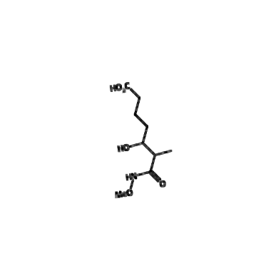 CONC(=O)C(C)C(O)CCCC(=O)O